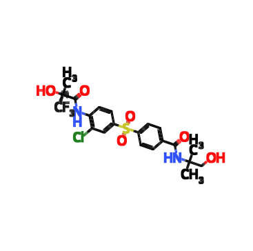 CC(C)(CO)NC(=O)c1ccc(S(=O)(=O)c2ccc(NC(=O)[C@@](C)(O)C(F)(F)F)c(Cl)c2)cc1